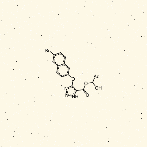 CC(=O)C(O)OC(=O)c1[nH]nnc1Oc1ccc2cc(Br)ccc2c1